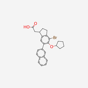 O=C(O)CC1CCc2c1cc(-c1ccc3ccccc3c1)c(OC1CCCC1)c2Br